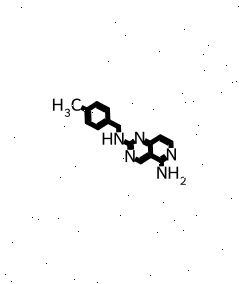 Cc1ccc(CNc2ncc3c(N)nccc3n2)cc1